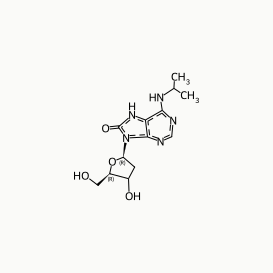 CC(C)Nc1ncnc2c1[nH]c(=O)n2[C@H]1CC(O)[C@@H](CO)O1